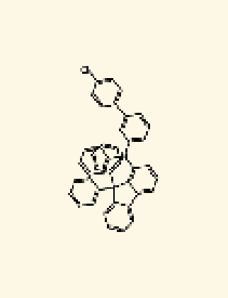 Clc1ccc(-c2cccc(N(c3ccccc3)c3cccc4c3C(c3ccccc3)(c3ccccc3)c3ccccc3-4)c2)cc1